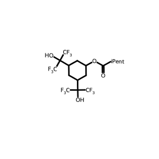 CCCC(C)C(=O)OC1CC(C(O)(C(F)(F)F)C(F)(F)F)CC(C(O)(C(F)(F)F)C(F)(F)F)C1